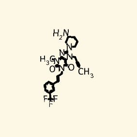 CC#CCn1c(N2CCC[C@@H](N)C2)nc2c1c(=O)n(CC=Cc1cccc(C(F)(F)F)c1)c(=O)n2C